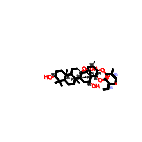 C/C=C(/C)C(=O)O[C@@H]1[C@@H](C)CC2[C@@]3([C@H](O)C[C@]4(C)[C@@]2(CCC2[C@@]5(C)CC[C@H](O)C(C)(C)C5CC[C@]24C)O[C@@H]3O)[C@H]1OC(=O)/C(C)=C\C